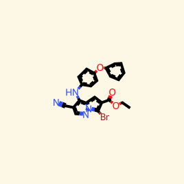 CCOC(=O)c1cc2c(Nc3ccc(Oc4ccccc4)cc3)c(C#N)cnn2c1Br